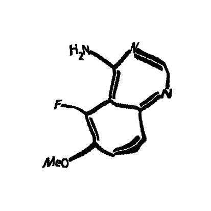 COc1ccc2ncnc(N)c2c1F